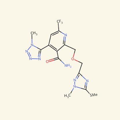 CSc1nc(COCc2nc(C(F)(F)F)cc(-c3nnnn3C)c2C(N)=O)nn1C